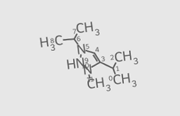 CC(C)C1=CN(C(C)C)NN1C